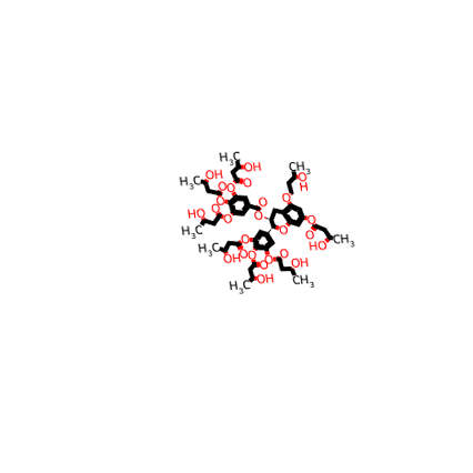 CC(O)CCOc1cc(OC(=O)CC(C)O)cc2c1C[C@@H](OC(=O)c1cc(OC(=O)CC(C)O)c(OC(=O)CC(C)O)c(OC(=O)CC(C)O)c1)[C@@H](c1cc(OC(=O)CC(C)O)c(OC(=O)CC(C)O)c(OC(=O)CC(C)O)c1)O2